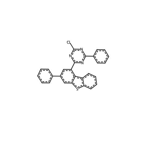 Clc1nc(-c2ccccc2)nc(-c2cc(-c3ccccc3)cc3sc4ccccc4c23)n1